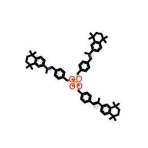 C/C(=C\c1ccc(COP(=O)(OCc2ccc(/C=C(\C)c3ccc4c(c3)C(C)(C)CCC4(C)C)cc2)OCc2ccc(/C=C(\C)c3ccc4c(c3)C(C)(C)CCC4(C)C)cc2)cc1)c1ccc2c(c1)C(C)(C)CCC2(C)C